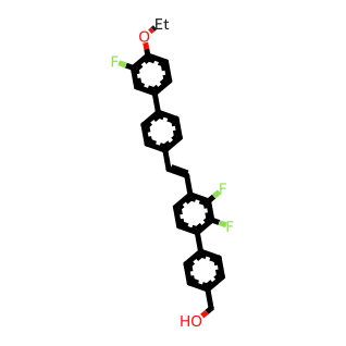 CCOc1ccc(-c2ccc(/C=C/c3ccc(-c4ccc(CO)cc4)c(F)c3F)cc2)cc1F